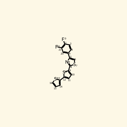 Fc1ccc(-c2csc(-c3ccc(-c4cccs4)s3)n2)cc1F